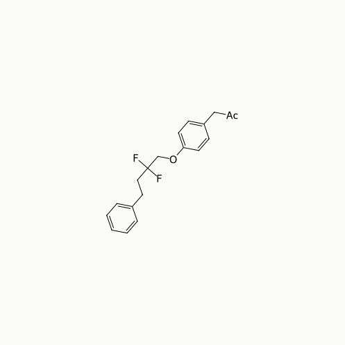 CC(=O)Cc1ccc(OCC(F)(F)CCc2ccccc2)cc1